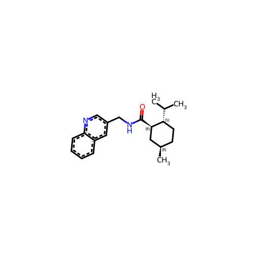 CC(C)[C@@H]1CC[C@@H](C)C[C@H]1C(=O)NCc1cnc2ccccc2c1